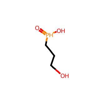 O=[PH](O)CCCO